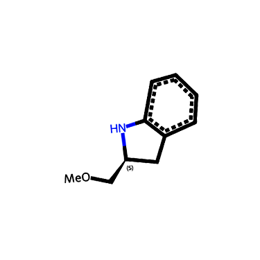 COC[C@@H]1Cc2ccccc2N1